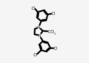 Clc1cc(Cl)cc(N2CCN(c3cc(Cl)cc(Cl)c3)C2C(Cl)(Cl)Cl)c1